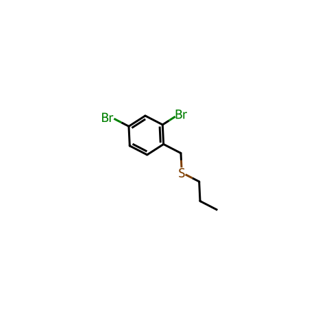 CCCSCc1ccc(Br)cc1Br